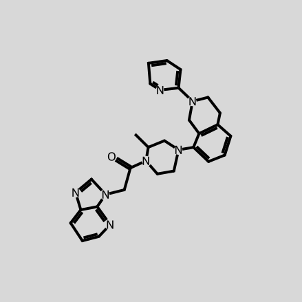 CC1CN(c2cccc3c2CN(c2ccccn2)CC3)CCN1C(=O)Cn1cnc2cccnc21